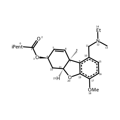 CCCC(C)C(=O)O[C@H]1C=C[C@@]2(C)c3c(CN(C)CC)ccc(OC)c3O[C@H]2C1